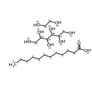 CCCCCCCCCCCC(=O)O.OCC(O)C(O)C(O)C(O)CO.OCCO